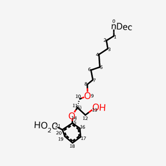 CCCCCCCCCCCCCCCCCCOC[C@H](CO)Oc1ccccc1C(=O)O